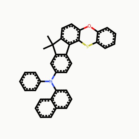 CC1(C)c2cc(N(c3ccccc3)c3cccc4ccccc34)ccc2-c2c1ccc1c2Sc2ccccc2O1